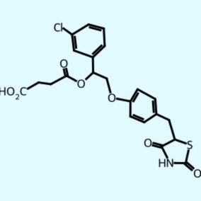 O=C(O)CCC(=O)OC(COc1ccc(CC2SC(=O)NC2=O)cc1)c1cccc(Cl)c1